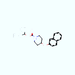 O=C(OC(C(F)(F)F)C(F)(F)F)N1CCC(Oc2ccc3ccccc3c2)CC1